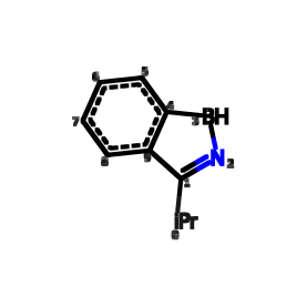 CC(C)C1=NBc2ccccc21